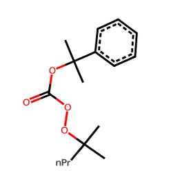 CCCC(C)(C)OOC(=O)OC(C)(C)c1ccccc1